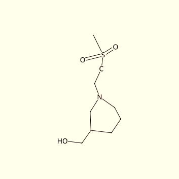 CS(=O)(=O)CCN1CCCC(CO)C1